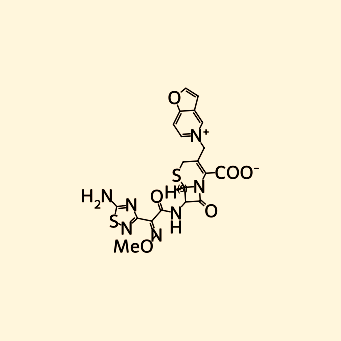 CON=C(C(=O)NC1C(=O)N2C(C(=O)[O-])=C(C[n+]3ccc4occc4c3)CS[C@@H]12)c1nsc(N)n1